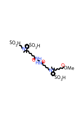 COC(=O)CCCCCC1(C)C(C)=[N+](CCCCCC(=O)NCCNC(=O)CCCCCC2(C)C(C)=[N+](CCCS(=O)(=O)O)c3ccc(S(=O)(=O)O)cc32)c2ccc(S(=O)(=O)O)cc21